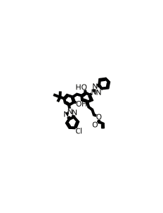 C=CC(=O)OCCCc1cc(Cc2cc(C(C)(C)C)cc(-n3nc4ccc(Cl)cc4n3)c2O)c(O)c(-n2nc3ccccc3n2)c1